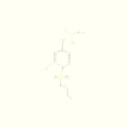 CCCCCCS(=O)(=O)Nc1ccc(S(=O)(=O)C=CC#N)c([N+](=O)[O-])c1